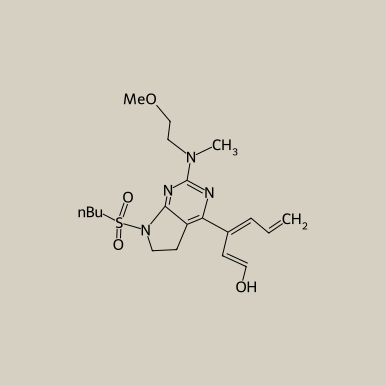 C=C/C=C(\C=C\O)c1nc(N(C)CCOC)nc2c1CCN2S(=O)(=O)CCCC